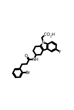 O=C(O)Cn1c2c(c3cc(F)ccc31)CC(NC(=O)CCc1ccccc1Br)CC2